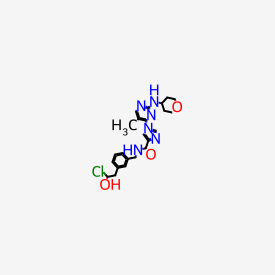 Cc1cnc(NC2CCOCC2)nc1-n1cnc(C(=O)NCc2cccc(CC(O)Cl)c2)c1